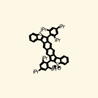 CC(C)c1cc(C(C)C)c(C2=c3cc4cc5c(cc4cc3C3=C2S(=O)(=O)c2ccccc23)=C(c2c(C(C)C)cc(C(C)C)cc2C(C)C)c2sc3ccccc3c2-5)c(C(C)C)c1